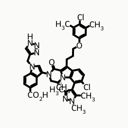 Cc1cc(OCCCc2c3n(c4c(-c5c(C)nn(C)c5C)c(Cl)ccc24)[C@H](C)CN(c2cn(Cc4c[nH]nn4)c4ccc(C(=O)O)cc24)C3=O)cc(C)c1Cl